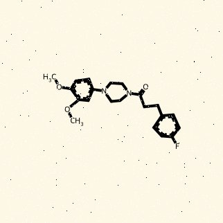 COc1ccc(N2CCN(C(=O)CCc3ccc(F)cc3)CC2)cc1OC